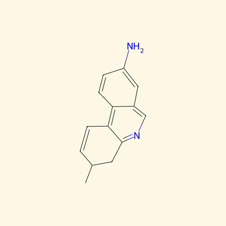 CC1C=Cc2c(ncc3cc(N)ccc23)C1